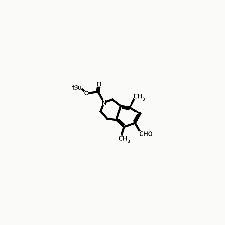 Cc1cc(C=O)c(C)c2c1CN(C(=O)OC(C)(C)C)CC2